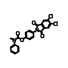 CN(C(=O)Oc1ccc(N2C(=O)c3cc(Cl)c(Cl)cc3C2=O)cc1)c1ccccc1